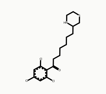 O=C(CCCCCCC1CSCCN1)c1c(Cl)cc(Cl)cc1Cl